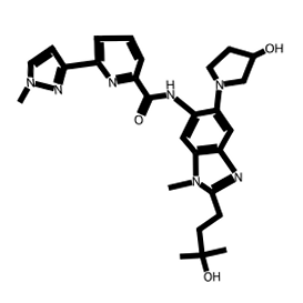 Cn1ccc(-c2cccc(C(=O)Nc3cc4c(cc3N3CCC(O)C3)nc(CCC(C)(C)O)n4C)n2)n1